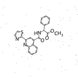 COC(=O)C(NC(=O)c1cc(-c2nccs2)nc2ccccc12)c1ccccc1